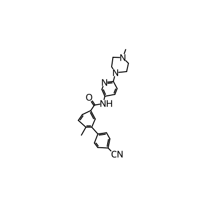 Cc1ccc(C(=O)Nc2ccc(N3CCN(C)CC3)nc2)cc1-c1ccc(C#N)cc1